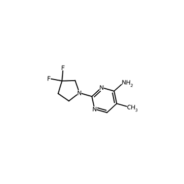 Cc1cnc(N2CCC(F)(F)C2)nc1N